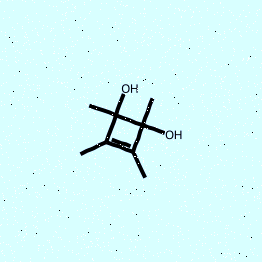 CC1=C(C)C(C)(O)C1(C)O